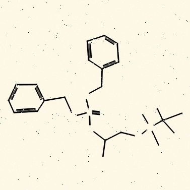 CC(CO[Si](C)(C)C(C)(C)C)OP(=O)(OCc1ccccc1)OCc1ccccc1